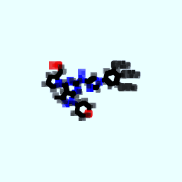 COc1cc(-n2cnc(Nc3nc(N4CCCC4CO)c4c(C)nn(C5CCOCC5)c4n3)c2)cc(OC)c1OC